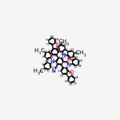 Cc1ccc2c(c1)c1cc(C)ccc1n2-c1c(C#N)c(-c2ccc3c(c2)oc2ccccc23)c(-c2nc3ccccc3o2)c(-n2c3ccc(C)cc3c3cc(C)ccc32)c1-c1ccc2c(c1)oc1ccccc12